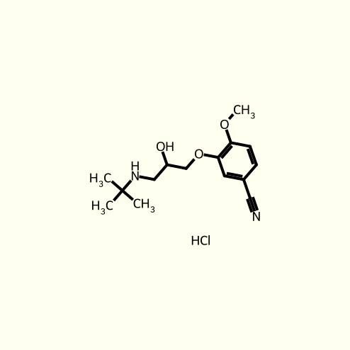 COc1ccc(C#N)cc1OCC(O)CNC(C)(C)C.Cl